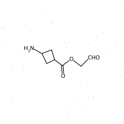 NC1CC(C(=O)OCC=O)C1